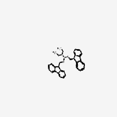 CCN(CC)P(OCC1c2ccccc2-c2ccccc21)OCC1c2ccccc2-c2ccccc21